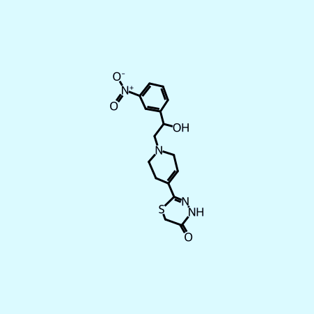 O=C1CSC(C2=CCN(CC(O)c3cccc([N+](=O)[O-])c3)CC2)=NN1